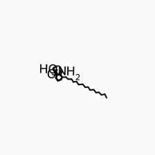 CCCCCCCCCCCCCCCCc1cccc(S(=O)(=O)O)c1N